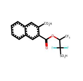 O=C(O)c1cc2ccccc2cc1C(=O)OC(C(F)(F)F)C(F)(F)S(=O)(=O)O